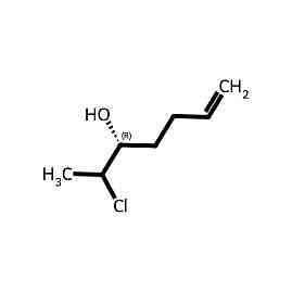 C=CCC[C@@H](O)C(C)Cl